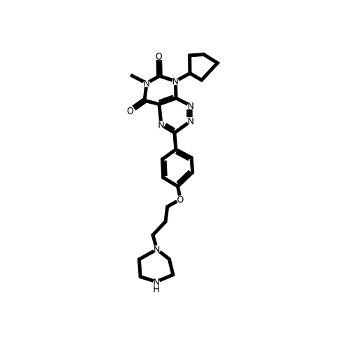 Cn1c(=O)c2nc(-c3ccc(OCCCN4CCNCC4)cc3)nnc2n(C2CCCC2)c1=O